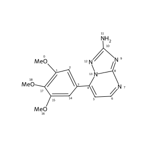 COc1cc(-c2ccnc3nc(N)nn23)cc(OC)c1OC